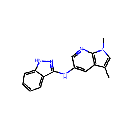 Cc1cn(C)c2ncc(Nc3n[nH]c4ccccc34)cc12